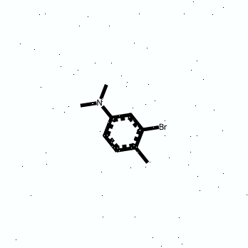 Cc1ccc(N(C)C)cc1Br